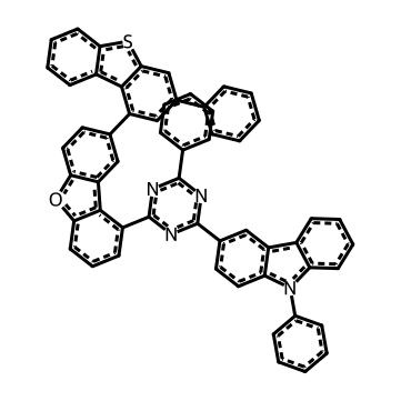 c1ccc(-c2cc(-c3ccc4oc5cccc(-c6nc(-c7ccccc7)nc(-c7ccc8c(c7)c7ccccc7n8-c7ccccc7)n6)c5c4c3)c3c(c2)sc2ccccc23)cc1